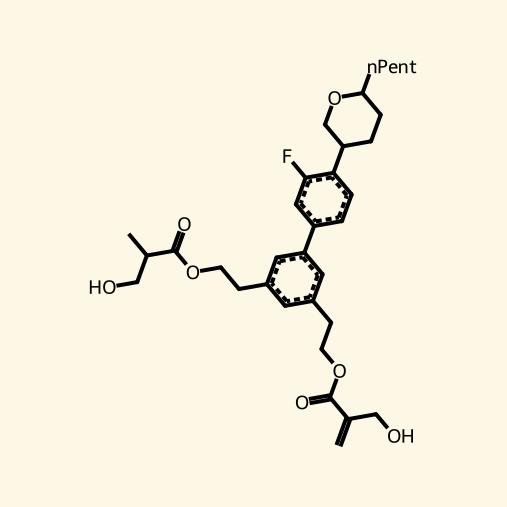 C=C(CO)C(=O)OCCc1cc(CCOC(=O)C(C)CO)cc(-c2ccc(C3CCC(CCCCC)OC3)c(F)c2)c1